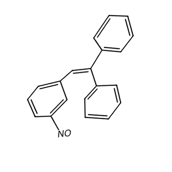 O=Nc1cccc(C=C(c2ccccc2)c2ccccc2)c1